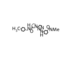 CNC(=O)c1cccc(Nc2nccc(N3CCC[C@H](C(=O)NCc4ccc(C)cc4)C3)n2)c1